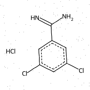 Cl.N=C(N)c1cc(Cl)cc(Cl)c1